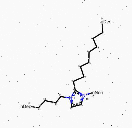 CCCCCCCCCCCCCCCCCCc1n(CCCCCCCCCCCCCC)cc[n+]1CCCCCCCCC